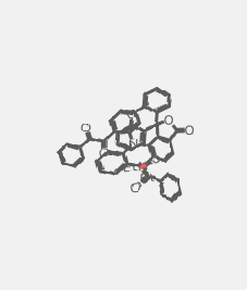 CCN(CC)c1ccc2c(c1N(c1ccccc1C(=O)C(=O)c1ccccc1)c1ccccc1C(=O)C(=O)c1ccccc1)C1(OC2=O)c2ccccc2Oc2ccccc21